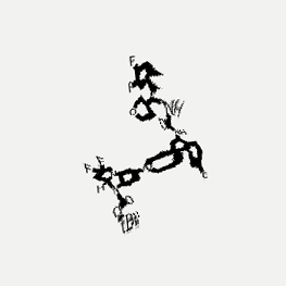 CC(C)(C)OC(=O)N1C[C@@H]2CC(F)(F)CN2c2cc(N3CCC4(CC3)CC(NC(=O)N[C@H](Cc3ccc(F)c(F)c3)C3CCOCC3)c3ccc(F)cc34)ccc21